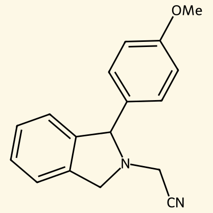 COc1ccc(C2c3ccccc3CN2CC#N)cc1